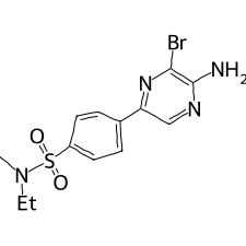 CCN(C)S(=O)(=O)c1ccc(-c2cnc(N)c(Br)n2)cc1